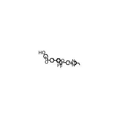 CCc1cnc(N2CCC(COc3ccc(C4=CCC(C(=O)N5CCC(O)CC5)CC4)cc3C(F)(F)F)CC2)nc1